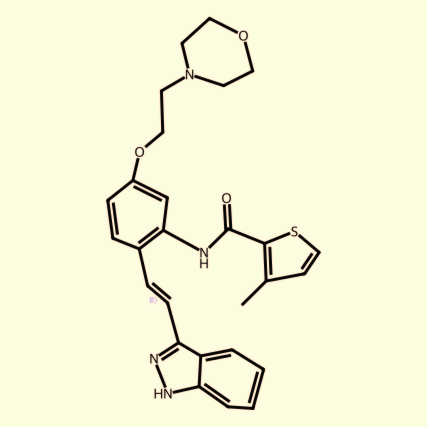 Cc1ccsc1C(=O)Nc1cc(OCCN2CCOCC2)ccc1/C=C/c1n[nH]c2ccccc12